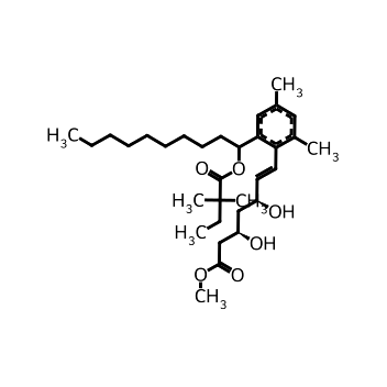 CCCCCCCCCC(OC(=O)C(C)(C)CC)c1cc(C)cc(C)c1C=C[C@@H](O)C[C@@H](O)CC(=O)OC